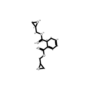 O=C(OCC1CO1)C1=CC=CCC1C(=O)OCC1CO1